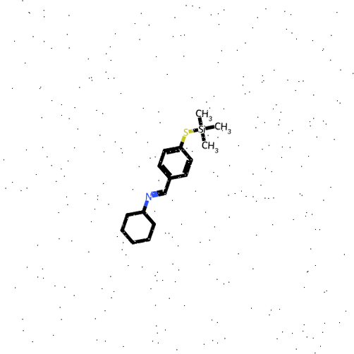 C[Si](C)(C)Sc1ccc(/C=N/C2CCCCC2)cc1